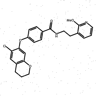 COc1ncccc1CCNC(=O)c1ccc(Oc2cc3c(cc2Cl)CCCO3)cc1